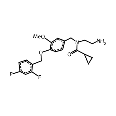 COc1cc(CN(CCN)C(=O)C2CC2)ccc1OCc1ccc(F)cc1F